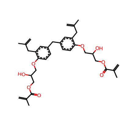 C=C(C)Cc1cc(Cc2ccc(OCC(O)COC(=O)C(=C)C)c(CC(=C)C)c2)ccc1OCC(O)COC(=O)C(=C)C